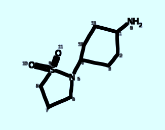 NC1CCC(N2CCCS2(=O)=O)CC1